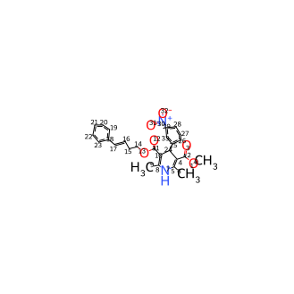 COC(=O)C1=C(C)NC(C)=C(C(=O)OCCC=Cc2ccccc2)C1c1cccc([N+](=O)[O-])c1